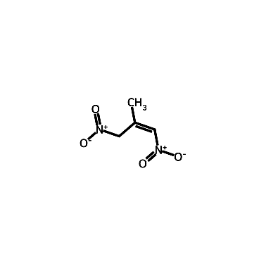 CC(=C[N+](=O)[O-])C[N+](=O)[O-]